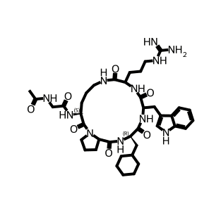 CC(=O)NCC(=O)N[C@H]1CCCNC(=O)C(CCCNC(=N)N)NC(=O)C(Cc2c[nH]c3ccccc23)NC(=O)[C@@H](CC2CCCCC2)NC(=O)C2CCCN2C1=O